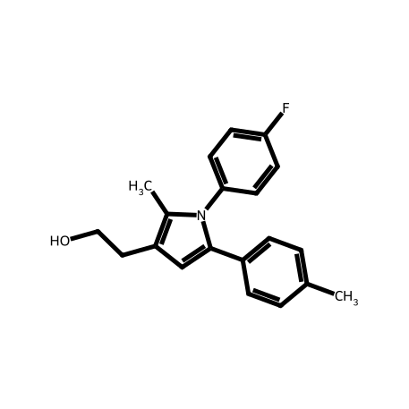 Cc1ccc(-c2cc(CCO)c(C)n2-c2ccc(F)cc2)cc1